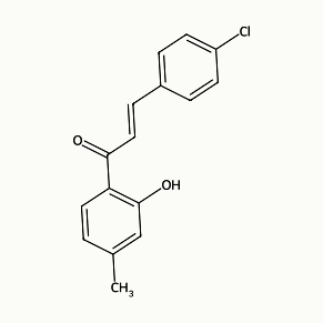 Cc1ccc(C(=O)C=Cc2ccc(Cl)cc2)c(O)c1